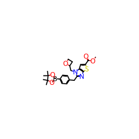 COC(=O)c1cc2c(nc(Cc3ccc(B4OC(C)(C)C(C)(C)O4)cc3)n2CC2CCO2)s1